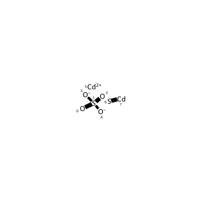 O=S(=O)([O-])[O-].[Cd+2].[S]=[Cd]